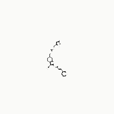 Cc1cc(CNC(=O)OCC2CCc3c(sc(NC(=O)/C=C/c4cccnc4)c3C#N)C2)n(C)n1